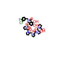 O=C(O)C1CCCN1C(=O)C1CCCN1C(=O)C1CCCN1C(=O)C1CCCN1C(=O)C1CCCN1S(=O)(=O)c1cc(O)c(O)c2c1CN(Cc1ccc(F)c(Cl)c1)C2=O